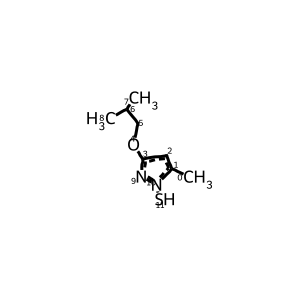 Cc1cc(OCC(C)C)nn1S